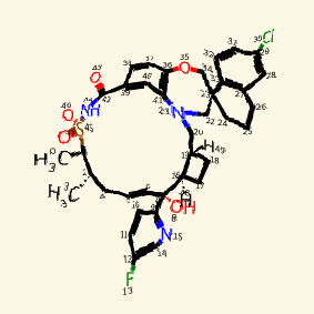 C[C@@H]1[C@@H](C)C/C=C/[C@](O)(c2ccc(F)cn2)[C@@H]2CC[C@H]2CN2C[C@@]3(CCCc4cc(Cl)ccc43)COc3ccc(cc32)C(=O)NS1(=O)=O